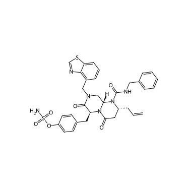 C=CC[C@@H]1CC(=O)N2[C@H](CN(Cc3cccc4scnc34)C(=O)[C@@H]2Cc2ccc(OS(N)(=O)=O)cc2)N1C(=O)NCc1ccccc1